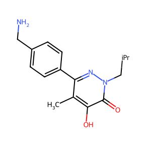 Cc1c(-c2ccc(CN)cc2)nn(CC(C)C)c(=O)c1O